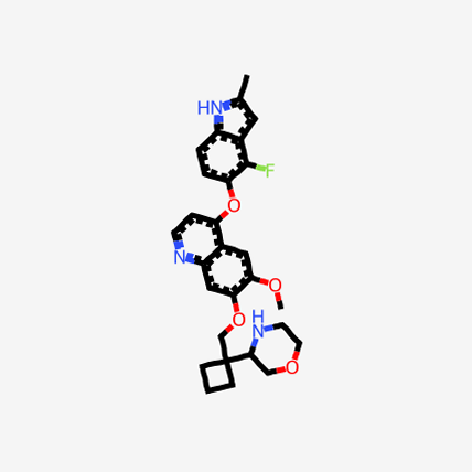 COc1cc2c(Oc3ccc4[nH]c(C)cc4c3F)ccnc2cc1OCC1(C2COCCN2)CCC1